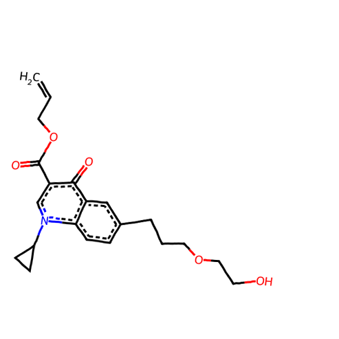 C=CCOC(=O)c1cn(C2CC2)c2ccc(CCCOCCO)cc2c1=O